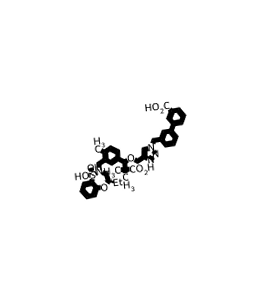 CC[C@@H]1CN(Cc2cc(C(OCc3cn(Cc4cccc(-c5cccc(C(=O)O)c5)c4)nn3)C(C)(C)C(=O)O)ccc2C)S(O)(O)c2ccccc2O1